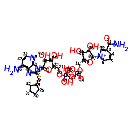 NC(=O)c1ccc[n+]([C@@H]2O[C@H](COP(=O)(O)OP(=O)(O)OC[C@H]3O[C@@H](n4c(SC5CCCC5)nc5c(N)ccnc54)C(O)[C@H]3O)C(O)C2O)c1